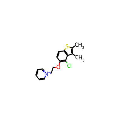 Cc1sc2ccc(OCC[n+]3ccccc3)c(Cl)c2c1C